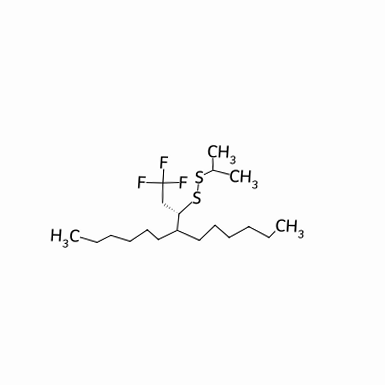 CCCCCCC(CCCCCC)[C@H](CC(F)(F)F)SSC(C)C